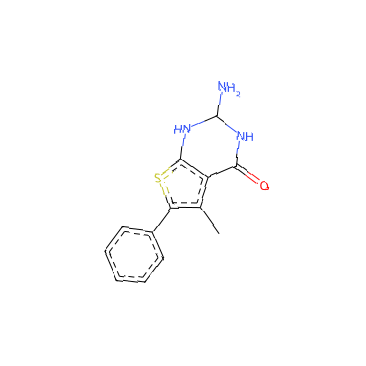 Cc1c(-c2ccccc2)sc2c1C(=O)NC(N)N2